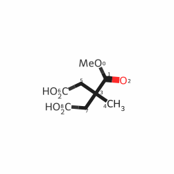 COC(=O)C(C)(CC(=O)O)CC(=O)O